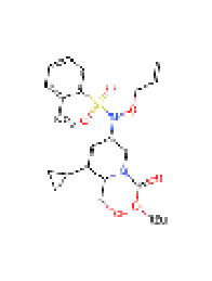 C=CCON(C1C=C(C2CC2)C(CO)N(C(=O)OC(C)(C)C)C1)S(=O)(=O)c1ccccc1[N+](=O)[O-]